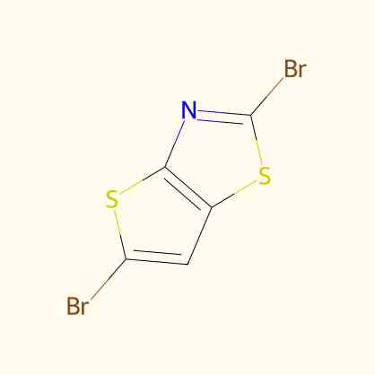 Brc1cc2sc(Br)nc2s1